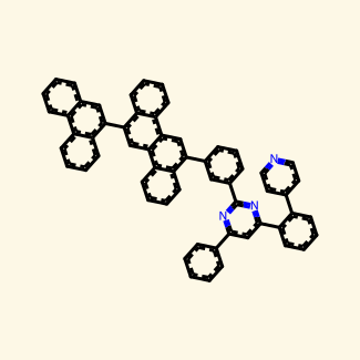 c1ccc(-c2cc(-c3ccccc3-c3ccncc3)nc(-c3cccc(-c4cc5c6ccccc6c(-c6cc7ccccc7c7ccccc67)cc5c5ccccc45)c3)n2)cc1